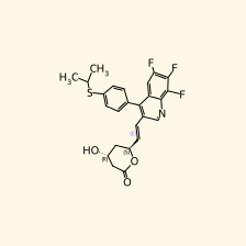 CC(C)Sc1ccc(-c2c(/C=C/[C@@H]3C[C@@H](O)CC(=O)O3)cnc3c(F)c(F)c(F)cc23)cc1